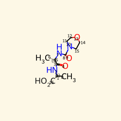 C[C@H](NC(=O)[C@H](C)NC(=O)N1CCOCC1)C(=O)O